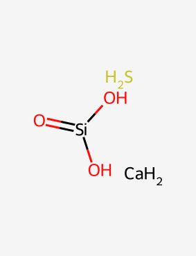 O=[Si](O)O.S.[CaH2]